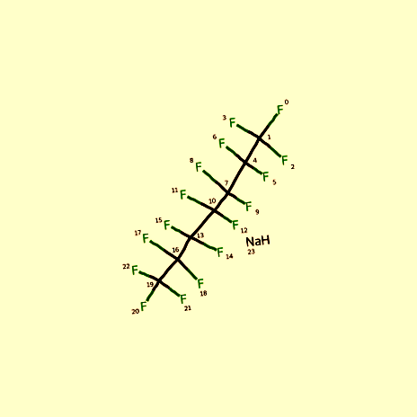 FC(F)(F)C(F)(F)C(F)(F)C(F)(F)C(F)(F)C(F)(F)C(F)(F)F.[NaH]